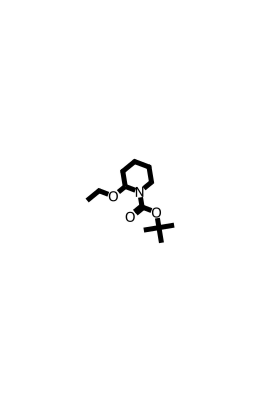 CCOC1CCCCN1C(=O)OC(C)(C)C